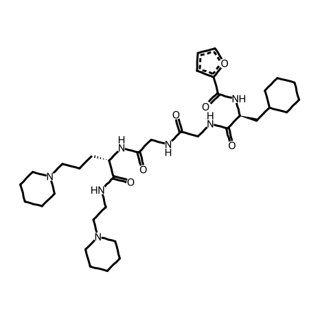 O=C(CNC(=O)[C@H](CC1CCCCC1)NC(=O)c1ccco1)NCC(=O)N[C@@H](CCCN1CCCCC1)C(=O)NCCN1CCCCC1